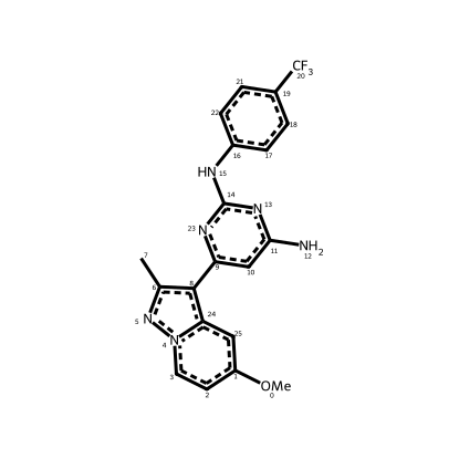 COc1ccn2nc(C)c(-c3cc(N)nc(Nc4ccc(C(F)(F)F)cc4)n3)c2c1